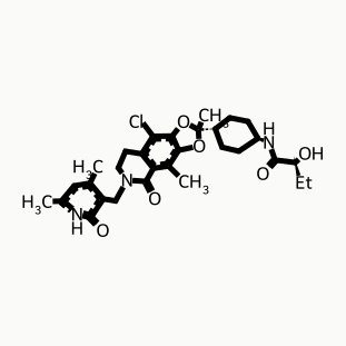 CC[C@H](O)C(=O)N[C@H]1CC[C@H](C2(C)Oc3c(C)c4c(c(Cl)c3O2)CCN(Cc2c(C)cc(C)[nH]c2=O)C4=O)CC1